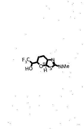 CNC1=NC2CCC(C(O)C(F)(F)F)O[C@@H]2S1